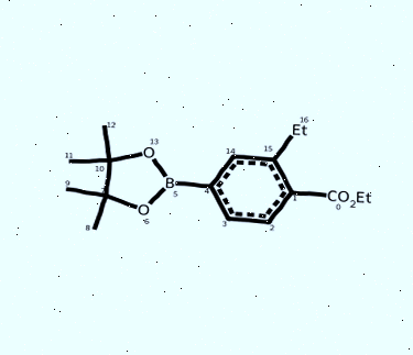 CCOC(=O)c1ccc(B2OC(C)(C)C(C)(C)O2)cc1CC